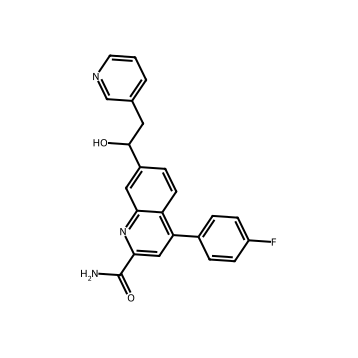 NC(=O)c1cc(-c2ccc(F)cc2)c2ccc(C(O)Cc3cccnc3)cc2n1